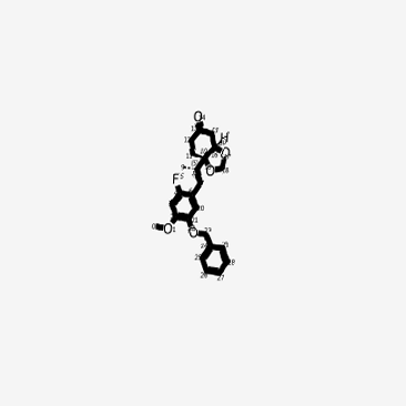 COc1cc(F)c(C[C@H](C)[C@]23CCC(=O)C[C@H]2OCO3)cc1OCc1ccccc1